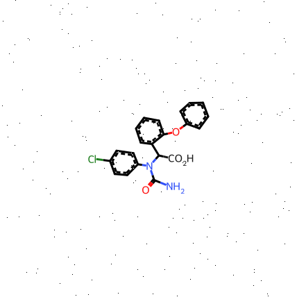 NC(=O)N(c1ccc(Cl)cc1)C(C(=O)O)c1ccccc1Oc1ccccc1